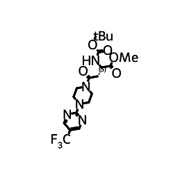 COC(=O)[C@H](CC(=O)N1CCN(c2ncc(C(F)(F)F)cn2)CC1)NC(=O)OC(C)(C)C